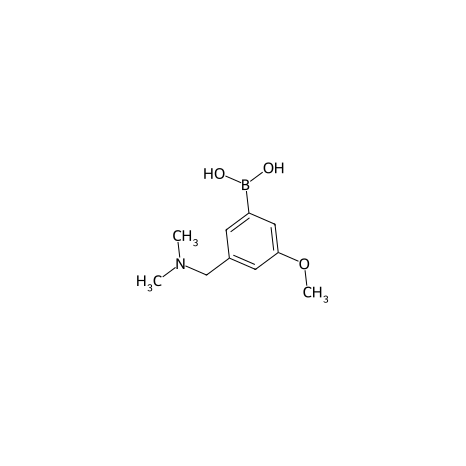 COc1cc(CN(C)C)cc(B(O)O)c1